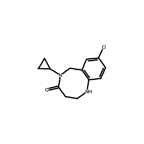 O=C1CCNc2ccc(Cl)cc2CN1C1CC1